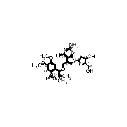 COc1cc(C(OCc2cn([C@H]3CC(O)[C@@H](CO)O3)c3nc(N)nc(Cl)c23)C(C)(C)C)c([N+](=O)[O-])cc1OC